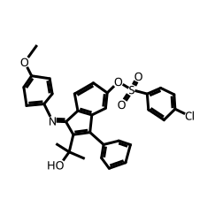 COc1ccc(N=C2C(C(C)(C)O)=C(c3ccccc3)c3cc(OS(=O)(=O)c4ccc(Cl)cc4)ccc32)cc1